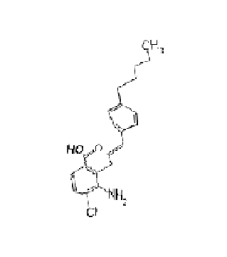 CCCCCc1ccc(C=CCc2c(C(=O)O)ccc(Cl)c2N)cc1